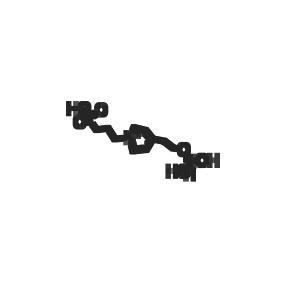 O=S(=O)(O)CCC[n+]1ccc(CCO[SiH](O)O)cc1